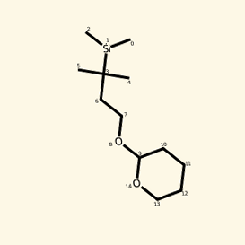 C[Si](C)C(C)(C)CCOC1CCCCO1